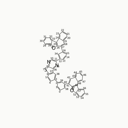 c1cc(-c2ccc3sc4ncc(-c5cccc(-c6cc7ccccc7c7c6oc6ccccc67)c5)nc4c3c2)cc(-c2cc3ccccc3c3c2oc2ccccc23)c1